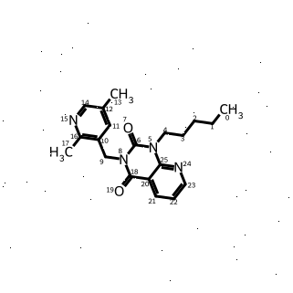 CCCCCn1c(=O)n(Cc2cc(C)cnc2C)c(=O)c2cccnc21